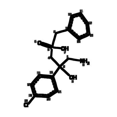 NCC(O)(CP(=O)(O)Cc1ccccc1)c1ccc(Cl)cc1